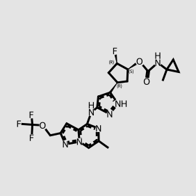 Cc1cn2nc(COC(F)(F)F)cc2c(Nc2cc([C@H]3C[C@@H](F)[C@@H](OC(=O)NC4(C)CC4)C3)[nH]n2)n1